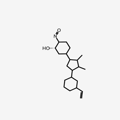 C=CC1CCCC(C2CC(C3CCC(N=O)[C@@H](O)C3)C(C)C2C)C1